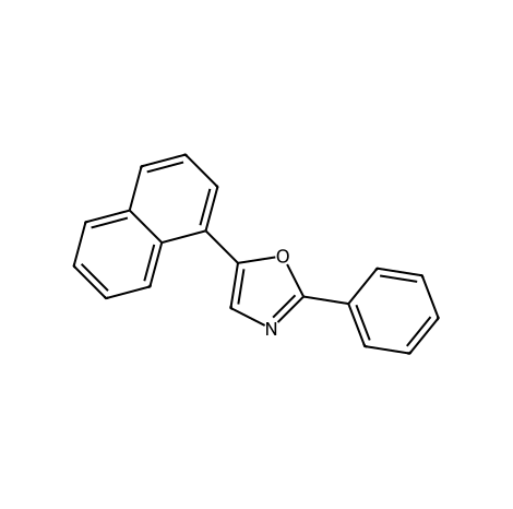 c1ccc(-c2ncc(-c3cccc4ccccc34)o2)cc1